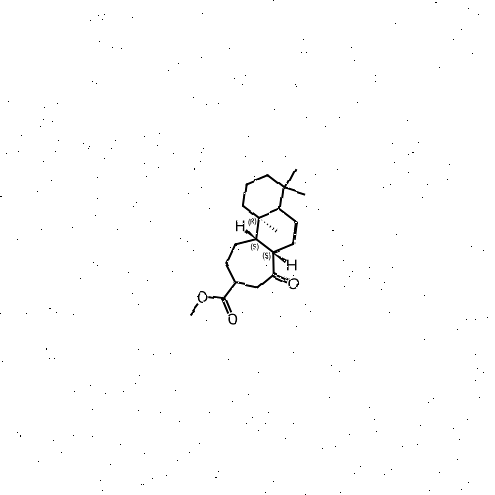 COC(=O)C1CC[C@H]2[C@H](CCC3C(C)(C)CCC[C@@]32C)C(=O)C1